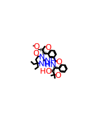 CCC1(CC)CC(=O)N([C@H]2c3cc(C(=O)N[C@@H]4c5ccccc5OC(C)(C)[C@H]4O)ccc3OC[C@@H]2COC)C(=N)N1